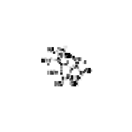 CC(N)=O.N=C(N)NCCCC(N)C(=O)O.NCC(=O)O.OCC(O)CO